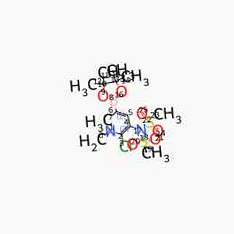 C=N/C(Cl)=C(\C=C(/C)B1OC(C)(C)C(C)(C)O1)N(S(C)(=O)=O)S(C)(=O)=O